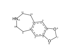 c1c2c(cc3c1OCO3)CCNCC2